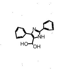 OC(O)c1[nH]c(-c2ccccc2)nc1-c1ccccc1